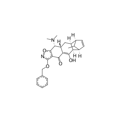 CC1[C@H]2C=C[C@@H]1[C@@H]1C[C@@H]3C(=C(O)[C@@H]12)C(=O)c1c(OCc2ccccc2)noc1[C@@H]3N(C)C